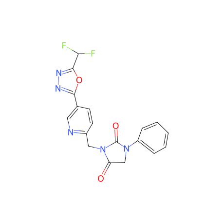 O=C1CN(c2ccccc2)C(=O)N1Cc1ccc(-c2nnc(C(F)F)o2)cn1